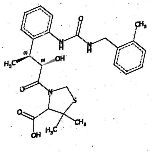 Cc1ccccc1CNC(=O)Nc1ccccc1[C@H](C)[C@H](O)C(=O)N1CSC(C)(C)C1C(=O)O